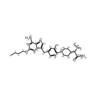 CCCCOc1nc(N)c2ncc(Cc3cnc(N4CCC(C(C(N)=O)N(C)C)CC4)c(C)c3)n2n1